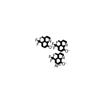 Cc1ccnc2c([O-])ccc(C(F)(F)F)c12.Cc1ccnc2c([O-])ccc(C(F)(F)F)c12.Cc1ccnc2c([O-])ccc(C(F)(F)F)c12.[Al+3]